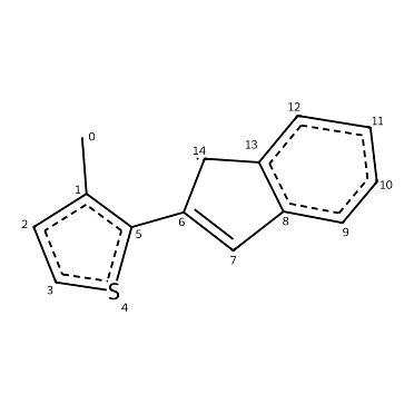 Cc1ccsc1C1=Cc2ccccc2[CH]1